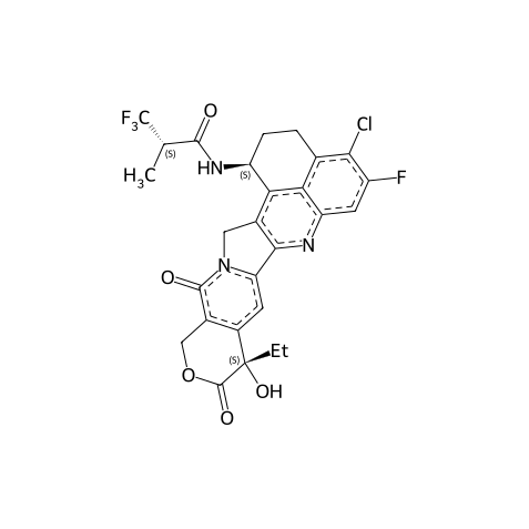 CC[C@@]1(O)C(=O)OCc2c1cc1n(c2=O)Cc2c-1nc1cc(F)c(Cl)c3c1c2[C@@H](NC(=O)[C@H](C)C(F)(F)F)CC3